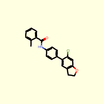 Cc1ccccc1C(=O)Nc1ccc(-c2cc3c(cc2Cl)OCC3)cc1